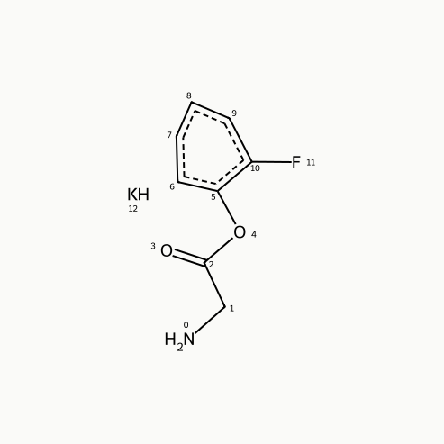 NCC(=O)Oc1ccccc1F.[KH]